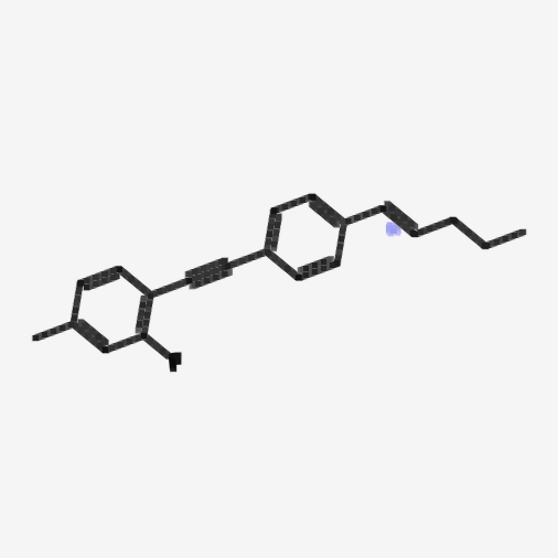 CCC/C=C/c1ccc(C#Cc2ccc(C)cc2F)cc1